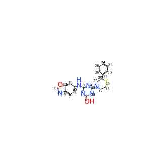 Oc1nc(Nc2ccc3ncoc3c2)nc(N2CCSC(c3ccccc3)C2)n1